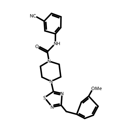 COc1cccc(Cc2nsc(N3CCN(C(=O)Nc4cccc(C#N)c4)CC3)n2)c1